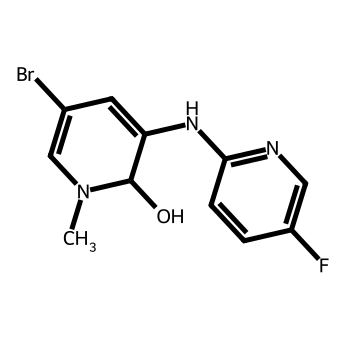 CN1C=C(Br)C=C(Nc2ccc(F)cn2)C1O